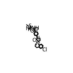 Cc1nnc(NS(=O)(=O)c2ccc(N3CC[C@@H](N4CCCc5cc(Cl)ccc54)C3=O)cc2)s1